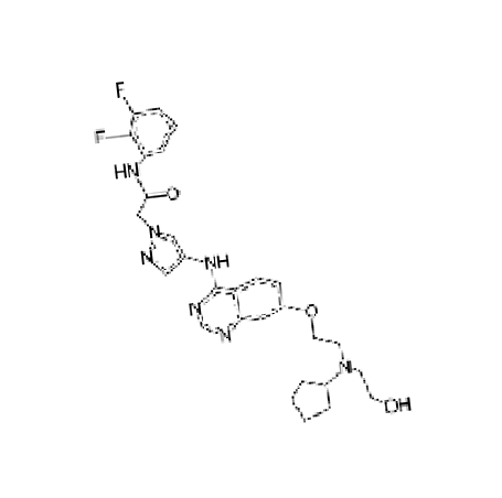 O=C(Cn1cc(Nc2ncnc3cc(OCCN(CCO)C4CCCC4)ccc23)cn1)Nc1cccc(F)c1F